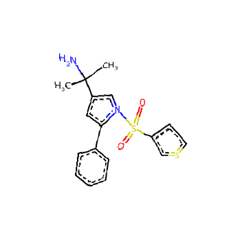 CC(C)(N)c1cc(-c2ccccc2)n(S(=O)(=O)c2ccsc2)c1